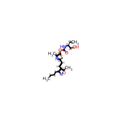 CCCCc1noc(C)c1/C=C/c1nc(C)c(OC(=O)N[C@@H](CC)CO)s1